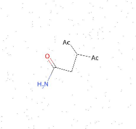 CC(=O)C(CC(N)=O)C(C)=O